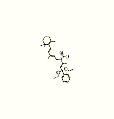 CCOC(C=C(C)C(CC=C(C)C=CC1=C(C)CCCC1(C)C)=S(=O)=O)(OCC)c1ccccc1